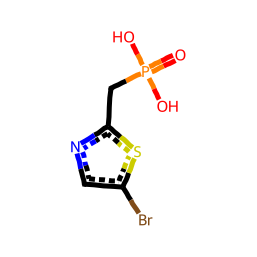 O=P(O)(O)Cc1ncc(Br)s1